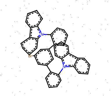 Brc1cc(-c2ccccc2-n2c3ccccc3c3ccccc32)cc(-c2ccccc2-n2c3ccccc3c3ccccc32)c1